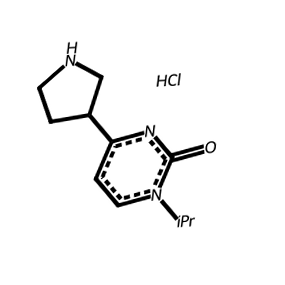 CC(C)n1ccc(C2CCNC2)nc1=O.Cl